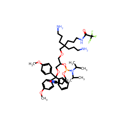 COc1ccc(C(OCC(COCC(CCCN)(CCCN)CCCNC(=O)C(F)(F)F)OP(OCCC#N)N(C(C)C)C(C)C)(c2ccccc2)c2ccc(OC)cc2)cc1